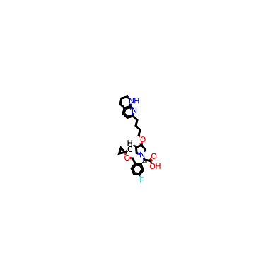 CC1(OCc2ccc(F)cc2[C@@H](C(=O)O)N2CC[C@@H](OCCCCc3ccc4c(n3)NCCC4)C2)CC1